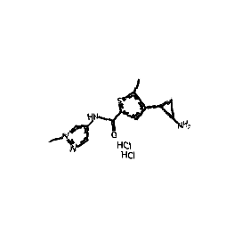 Cc1sc(C(=O)Nc2cnn(C)c2)cc1C1CC1N.Cl.Cl